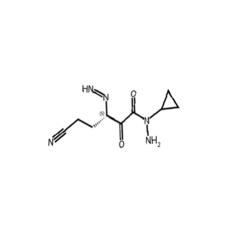 N#CCC[C@H](N=N)C(=O)C(=O)N(N)C1CC1